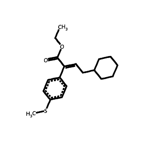 CCOC(=O)/C(=C/CC1CCCCC1)c1ccc(SC)cc1